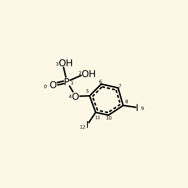 O=P(O)(O)Oc1ccc(I)cc1I